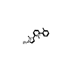 Cc1ccccc1-c1cccc(-c2ccn(C(C)C)[n+]2C)[n+]1C